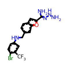 NN/N=C(\N)c1cc2ccc(CNc3ccc(Br)c(C(F)(F)F)c3)cc2o1